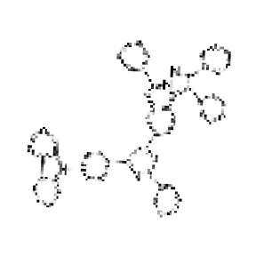 c1ccc(-c2cc(-c3ccc4c(c3)cc(-c3ccccc3)n3nc(-c5ccccc5)c(-c5ccccc5)c43)cc(-c3ccc(-n4c5ccccc5c5ccccc54)cc3)n2)cc1